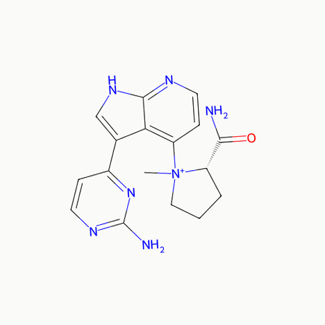 C[N+]1(c2ccnc3[nH]cc(-c4ccnc(N)n4)c23)CCC[C@H]1C(N)=O